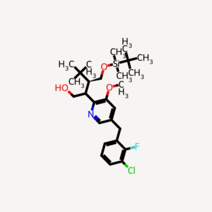 COc1cc(Cc2cccc(Cl)c2F)cnc1C(CO)[C@H](CO[Si](C)(C)C(C)(C)C)C(C)(C)C